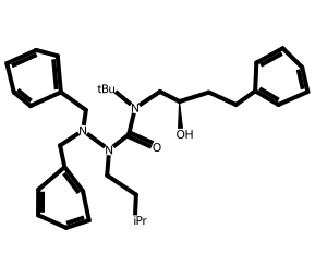 CC(C)CCN(C(=O)N(C[C@H](O)CCc1ccccc1)C(C)(C)C)N(Cc1ccccc1)Cc1ccccc1